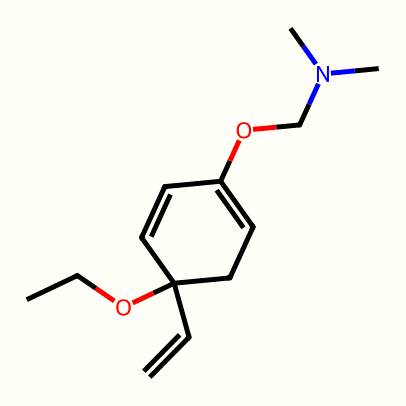 C=CC1(OCC)C=CC(OCN(C)C)=CC1